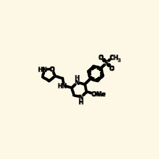 COC1NCC(NCC2CCNO2)NC1c1ccc(S(C)(=O)=O)cc1